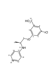 C[C@@H](COc1cc(Cl)cc(C(=O)O)c1)Nc1ccncc1